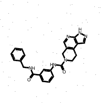 O=C(NCc1ccccc1)c1cccc(NC(=O)N2CCc3c(cnc4[nH]ncc34)C2)c1